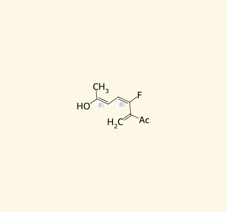 C=C(C(C)=O)/C(F)=C\C=C(/C)O